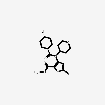 COC(=O)c1sc(I)cc1N(C(=O)[C@H]1CC[C@H](C)CC1)C1CCOCC1